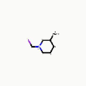 CNC1CCCN(CI)C1